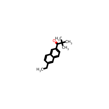 CCc1ccc2cc(C(=O)C(C)(C)C)ccc2c1